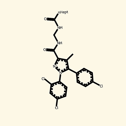 CCCCCCCC(=O)NCNC(=O)c1nn(-c2ccc(Cl)cc2Cl)c(-c2ccc(Cl)cc2)c1C